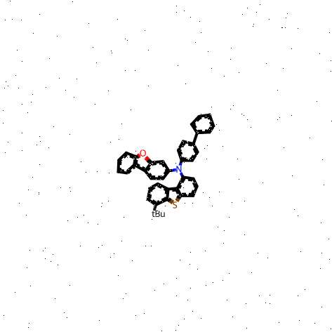 CC(C)(C)c1cccc2c1sc1cccc(N(c3ccc(-c4ccccc4)cc3)c3ccc4c(c3)oc3ccccc34)c12